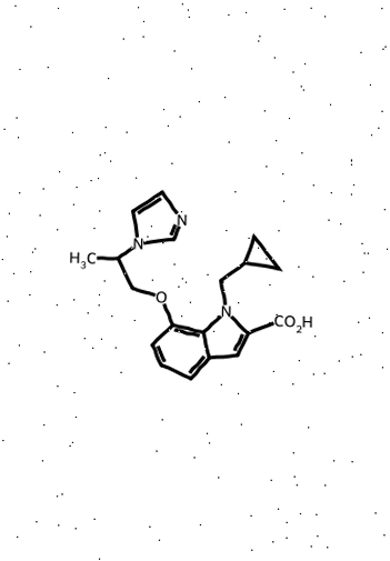 CC(COc1cccc2cc(C(=O)O)n(CC3CC3)c12)n1ccnc1